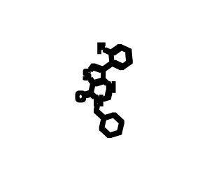 O=c1c2scc(-c3ccccc3F)c2ncn1CC1CCCCC1